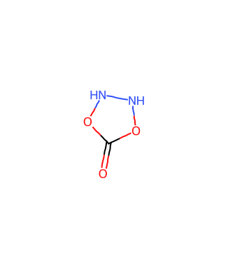 O=C1ONNO1